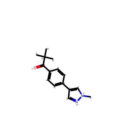 Cn1cc(-c2ccc(C(=O)C(C)(C)C)cc2)cn1